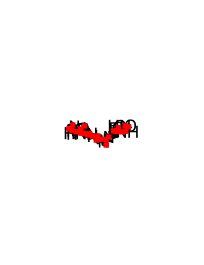 CCN(C1CN(c2ccc(C(=O)NC3CCC(=O)NC3=O)c(F)c2)C1)[C@H]1CC[C@H](n2cc3cc(NC(=O)c4cnn5cccnc45)c(OC(C)C)cc3n2)CC1